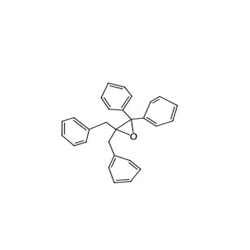 c1ccc(CC2(Cc3ccccc3)OC2(c2ccccc2)c2ccccc2)cc1